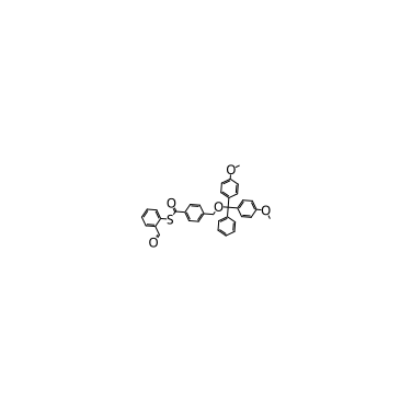 COc1ccc(C(OCc2ccc(C(=O)Sc3ccccc3C=O)cc2)(c2ccccc2)c2ccc(OC)cc2)cc1